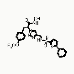 O=C(NO)[C@H](Cc1ccc(OC(F)(F)F)cc1)n1cc(CNS(=O)(=O)c2ccc(-c3ccccc3)s2)nn1